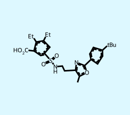 CCc1cc(S(=O)(=O)NCCc2nc(-c3ccc(C(C)(C)C)cc3)oc2C)cc(C(=O)O)c1CC